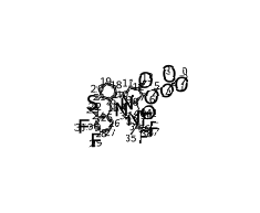 COC(=O)OCOc1c2n(ccc1=O)N([C@@H]1c3ccccc3SCc3c1ccc(F)c3F)CN([C@H](C)C(F)(F)F)C2=O